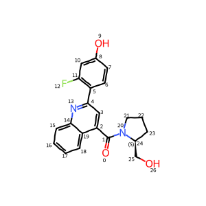 O=C(c1cc(-c2ccc(O)cc2F)nc2ccccc12)N1CCC[C@H]1CO